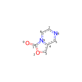 O=c1occ2cnccn12